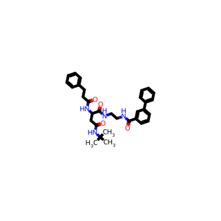 CC(C)(C)NC(=O)CC(NC(=O)CCc1ccccc1)C(=O)NCCNC(=O)c1cccc(-c2ccccc2)c1